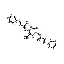 O=C(/C=C/c1ccccc1)Oc1ccc(OC(=O)/C=C/c2ccccc2)c(Cl)c1